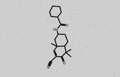 CC12C=C(C#N)C(=O)C(C)(C)C1CCC(NC(=O)C1CCCCC1)C2